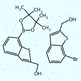 CC1(C)OB(c2cccc3cc(CO)sc23)OC1(C)C.OCc1cc2cccc(Br)c2s1